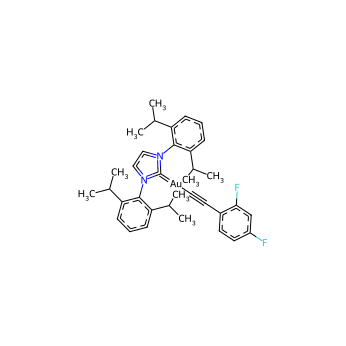 CC(C)c1cccc(C(C)C)c1-n1ccn(-c2c(C(C)C)cccc2C(C)C)[c]1=[Au][C]#Cc1ccc(F)cc1F